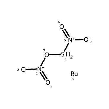 O=[N+]([O-])O[SiH2][N+](=O)[O-].[Ru]